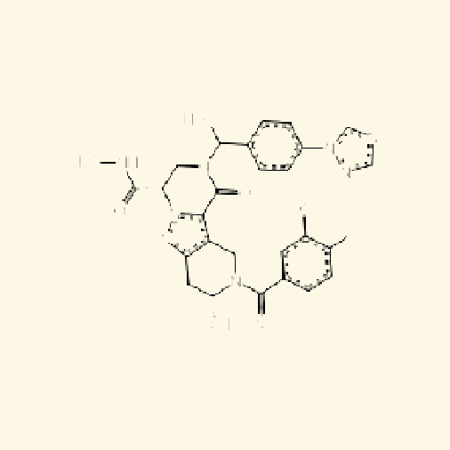 CNC(=O)[C@@H]1CN(C(C)c2ccc(-n3cncn3)cc2)C(=O)c2c3c(nn21)C[C@@H](C)N(C(=O)c1ccc(Cl)c(Cl)c1)C3